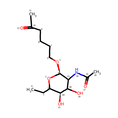 CCC1O[C@@H](OCCCCC(C)=O)C(NC(C)=O)C(O)[C@H]1O